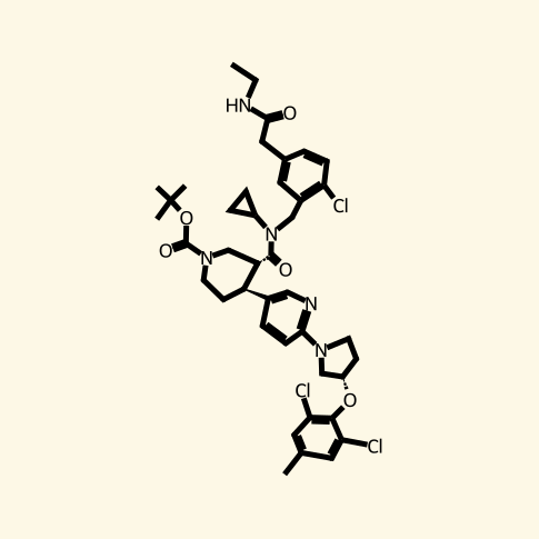 CCNC(=O)Cc1ccc(Cl)c(CN(C(=O)[C@H]2CN(C(=O)OC(C)(C)C)CC[C@@H]2c2ccc(N3CC[C@H](Oc4c(Cl)cc(C)cc4Cl)C3)nc2)C2CC2)c1